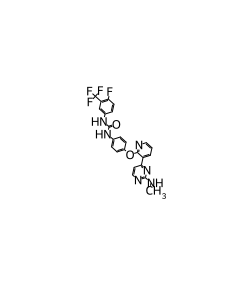 CNc1nccc(-c2cccnc2Oc2ccc(NC(=O)Nc3ccc(F)c(C(F)(F)F)c3)cc2)n1